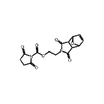 O=C1C2C3C=CC(O3)C2C(=O)N1CCOC(=O)N1C(=O)CCC1=O